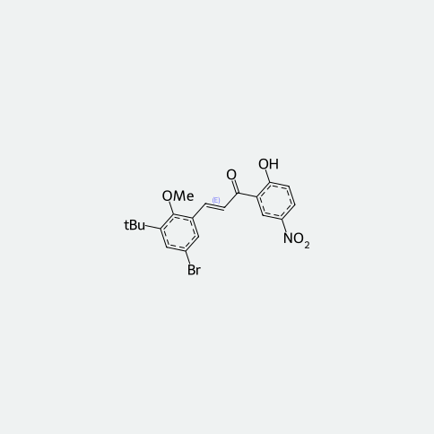 COc1c(/C=C/C(=O)c2cc([N+](=O)[O-])ccc2O)cc(Br)cc1C(C)(C)C